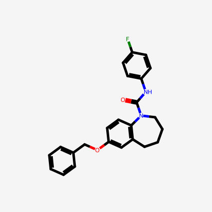 O=C(Nc1ccc(F)cc1)N1CCCCc2cc(OCc3ccccc3)ccc21